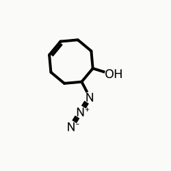 [N-]=[N+]=NC1CCC=CCCC1O